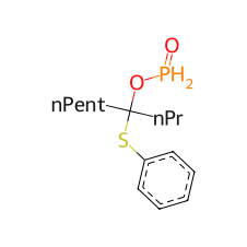 CCCCCC(CCC)(O[PH2]=O)Sc1ccccc1